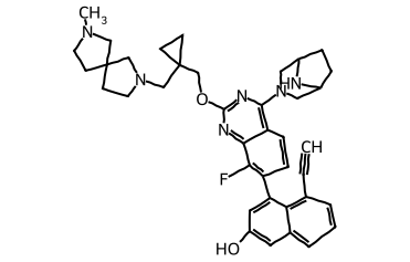 C#Cc1cccc2cc(O)cc(-c3ccc4c(N5CC6CCC(C5)N6)nc(OCC5(CN6CCC7(CCN(C)C7)C6)CC5)nc4c3F)c12